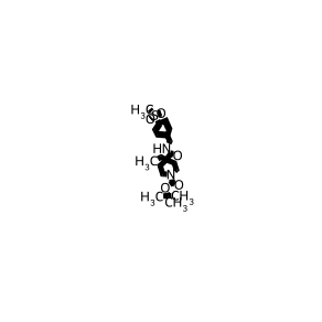 CCC1(C(=O)NCc2ccc(S(C)(=O)=O)cc2)CCN(C(=O)OC(C)(C)C)CC1